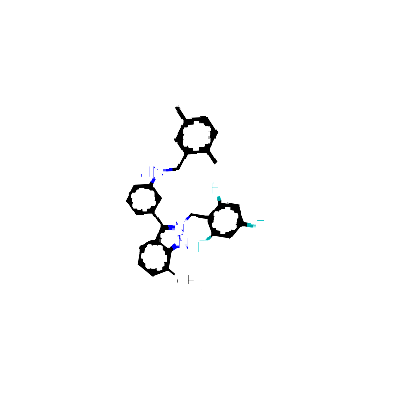 Cc1ccc(C)c(CNc2cccc(-c3c4cccc(C(F)(F)F)c4nn3Cc3c(F)cc(F)cc3F)c2)c1